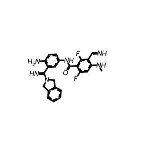 CNc1cc(F)c(C(=O)Nc2ccc(N)c(C(=N)N3Cc4ccccc4C3)c2)c(F)c1C=N